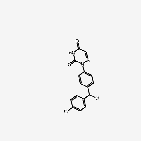 O=c1cnn(-c2ccc(C(Cl)c3ccc(Cl)cc3)cc2)c(=O)[nH]1